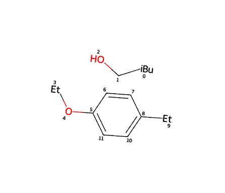 CCC(C)CO.CCOc1ccc(CC)cc1